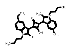 CCCCn1c(C)c(C2=C(O)C(C3C(C)=[N+](CCCC)c4ccc(C)cc43)C2=O)c2cc(CC)ccc21